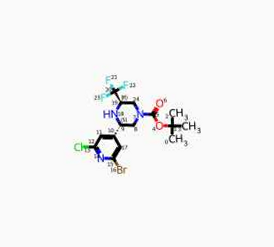 CC(C)(C)OC(=O)N1C[C@H](c2cc(Cl)nc(Br)c2)N[C@@H](C(F)(F)F)C1